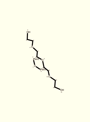 CCCC(C)OC(C)CCC.OCCOCCOCCOCCO